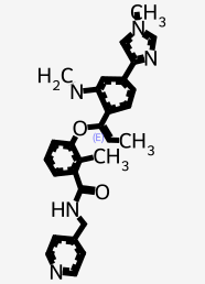 C=Nc1cc(-c2cn(C)cn2)ccc1/C(=C\C)Oc1cccc(C(=O)NCc2ccncc2)c1C